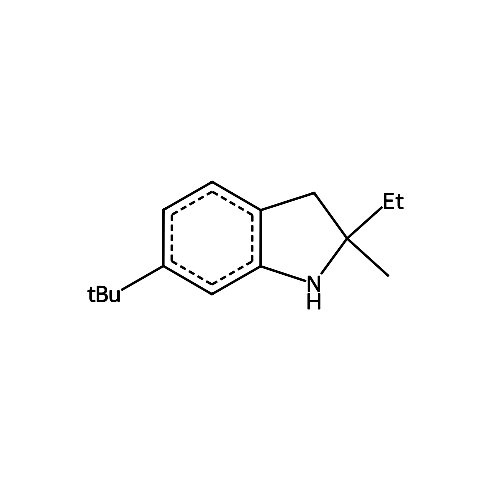 CCC1(C)Cc2ccc(C(C)(C)C)cc2N1